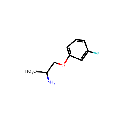 N[C@H](COc1cccc(F)c1)C(=O)O